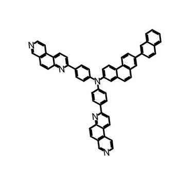 c1ccc2cc(-c3ccc4c(ccc5cc(N(c6ccc(-c7ccc8c(ccc9cnccc98)n7)cc6)c6ccc(-c7ccc8c(ccc9cnccc98)n7)cc6)ccc54)c3)ccc2c1